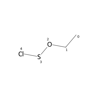 CCOSCl